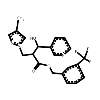 Cc1cnn(CC(C(=O)OCc2cccc(C(F)(F)F)c2)C(O)c2cccnc2)c1